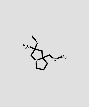 CC(C)(C)OCC12CCCN1CC(C)(OI)C2